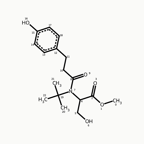 COC(=O)C(CO)N(C(=O)CCc1ccc(O)cc1)C(C)(C)C